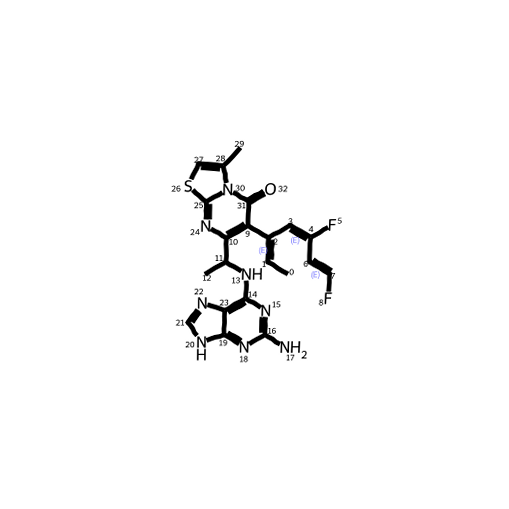 C\C=C(/C=C(F)\C=C\F)c1c(C(C)Nc2nc(N)nc3[nH]cnc23)nc2scc(C)n2c1=O